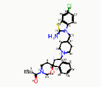 CC(C)(C)C(=O)N1CCC(CCN2CCC(CN3c4ccc(Cl)cc4SC3N)CC2)(c2ccccc2)OC1